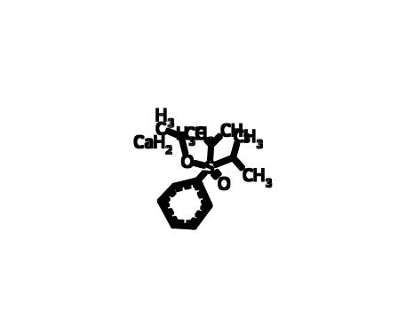 CC(C)OS(=O)(c1ccccc1)(C(C)C)C(C)C.[CaH2]